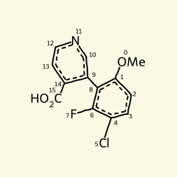 COc1ccc(Cl)c(F)c1-c1cnccc1C(=O)O